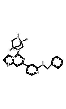 c1ccc(CNc2cc(-c3cc4nccn4c(N4C[C@@H]5C[C@H]4CN5)n3)ccn2)cc1